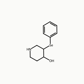 OC1CCNCC1[Se]c1ccccc1